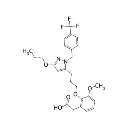 CCCOc1cc(CCCOc2c(CC(=O)O)cccc2OC)n(Cc2ccc(C(F)(F)F)cc2)n1